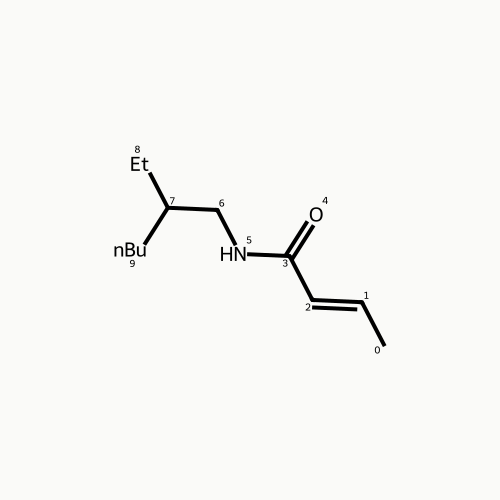 CC=CC(=O)NCC(CC)CCCC